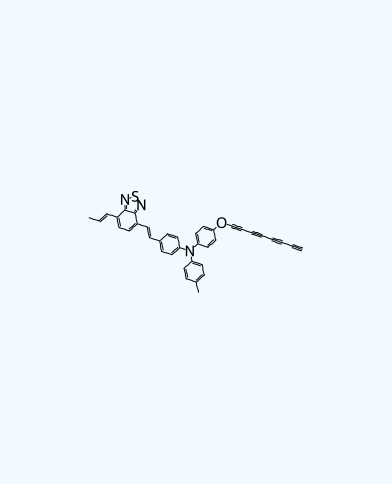 C#CC#CC#CC#COc1ccc(N(c2ccc(C)cc2)c2ccc(C=Cc3ccc(C=CC)c4nsnc34)cc2)cc1